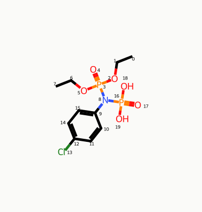 CCOP(=O)(OCC)N(c1ccc(Cl)cc1)P(=O)(O)O